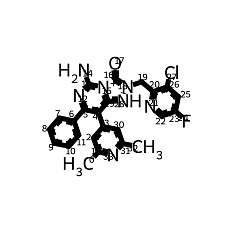 Cc1cc(-c2c(-c3ccccc3)nc(N)[n+]3c(=O)n(Cc4ncc(F)cc4Cl)[nH]c23)cc(C)n1